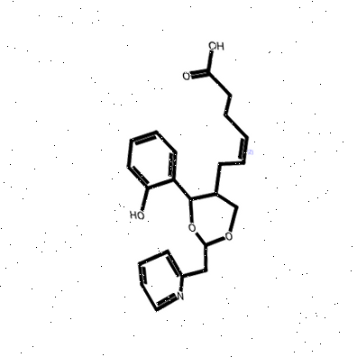 O=C(O)CC/C=C\CC1COC(Cc2ccccn2)OC1c1ccccc1O